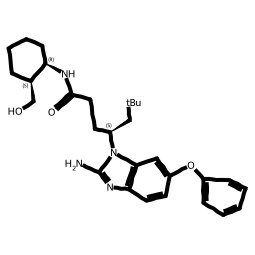 CC(C)(C)C[C@H](CCC(=O)N[C@@H]1CCCC[C@@H]1CO)n1c(N)nc2ccc(Oc3ccccc3)cc21